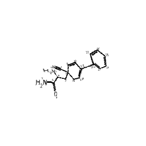 N#CC1(C[C@H](N)C(N)=O)C=CC(c2ccccc2)=CC1